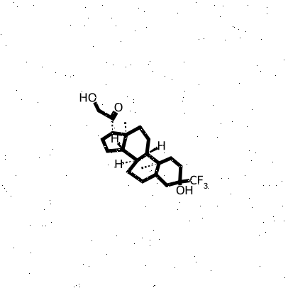 C[C@]12CC[C@H]3[C@@H](CCC4CC(O)(C(F)(F)F)CC[C@@]43C)[C@@H]1CC[C@@H]2C(=O)CO